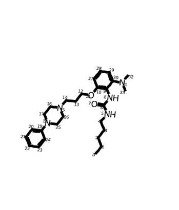 CCCCCNC(=O)Nc1c(OCCCN2CCN(c3ccccc3)CC2)cccc1N(C)C